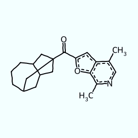 Cc1cnc(C)c2oc(C(=O)C34CC5CCCC(C3)C(C5)C4)cc12